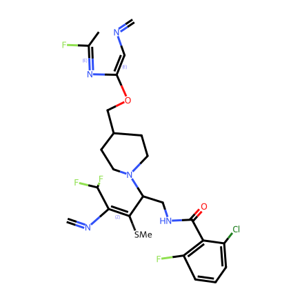 C=N/C=C(\N=C(/C)F)OCC1CCN(C(CNC(=O)c2c(F)cccc2Cl)/C(SC)=C(/N=C)C(F)F)CC1